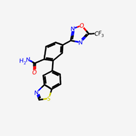 NC(=O)c1ccc(-c2noc(C(F)(F)F)n2)cc1-c1ccc2scnc2c1